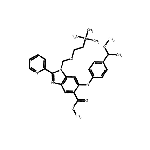 COC(=O)c1cc2nc(-c3ccccn3)n(COCC[Si](C)(C)C)c2cc1Oc1ccc(C(C)OC)cc1